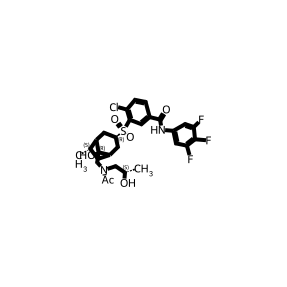 CC(=O)N(C[C@H](C)O)C[C@@]1(O)C2C[C@@H](S(=O)(=O)c3cc(C(=O)Nc4cc(F)c(F)c(F)c4)ccc3Cl)CC1[C@@H](C)C2